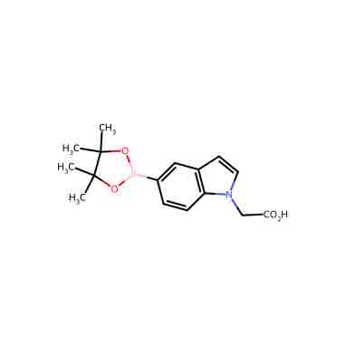 CC1(C)OB(c2ccc3c(ccn3CC(=O)O)c2)OC1(C)C